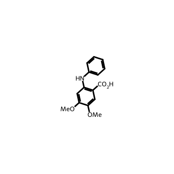 COc1cc(Nc2ccccc2)c(C(=O)O)cc1OC